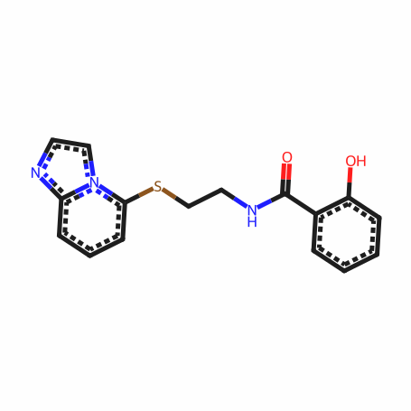 O=C(NCCSc1cccc2nccn12)c1ccccc1O